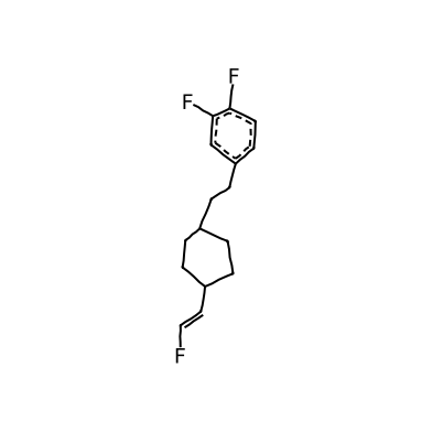 F/C=C/C1CCC(CCc2ccc(F)c(F)c2)CC1